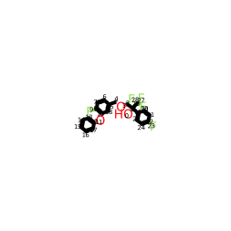 OC(COCc1ccc(F)c(Oc2ccccc2)c1)(c1ccc(F)cc1)C(F)(F)F